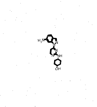 Nc1ccc2cnn(-c3ccnc(N[C@H]4CC[C@H](O)CC4)n3)c2c1